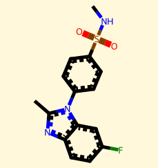 CNS(=O)(=O)c1ccc(-n2c(C)nc3ccc(F)cc32)cc1